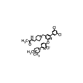 CC(=O)NCC1CCN(Cc2cc(Oc3ccc(N4CC[N+](C)(C)CC4)nc3)nc(-c3cc(Cl)cc(Cl)c3)c2)CC1.[Cl-]